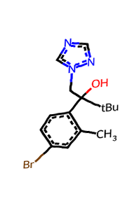 Cc1cc(Br)ccc1C(O)(Cn1cncn1)C(C)(C)C